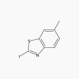 Cc1ccc2nc(I)sc2c1